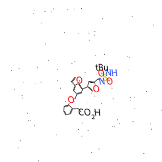 CC(C)(C)NS(=O)(=O)N=Cc1cc(-c2cc(COc3ccccc3CC(=O)O)cc3ccoc23)co1